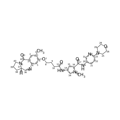 Cc1cc2c(cc1OCCCC(=O)Nc1cc(C(=O)Nc3ccc(N4CCOCC4)nc3)n(C)c1)N=C[C@@H]1CCCN1C2=O